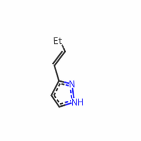 CC/C=C/c1cc[nH]n1